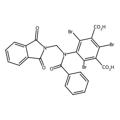 O=C(O)c1c(Br)c(C(=O)O)c(Br)c(N(CN2C(=O)c3ccccc3C2=O)C(=O)c2ccccc2)c1Br